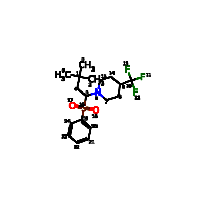 CC(C)(C)CC(N1CCC(C(F)(F)F)CC1)S(=O)(=O)c1ccccc1